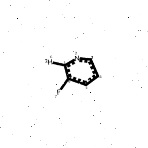 [2H]c1ncccc1F